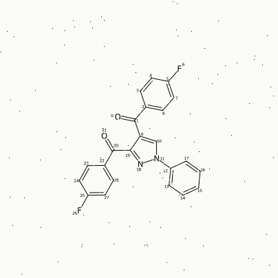 O=C(c1ccc(F)cc1)c1cn(-c2ccccc2)nc1C(=O)c1ccc(F)cc1